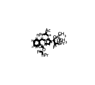 CCCC(F)OC(=O)[C@H]1C[C@@H](C(O[SiH](C)C)C(F)CCC)[C@@H](CC(CCC)C(C)=O)N1Cc1ccccc1